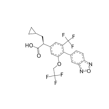 O=C(O)[C@@H](CC1CC1)c1cc(OCC(F)(F)F)c(-c2ccc3nonc3c2)c(C(F)(F)F)c1